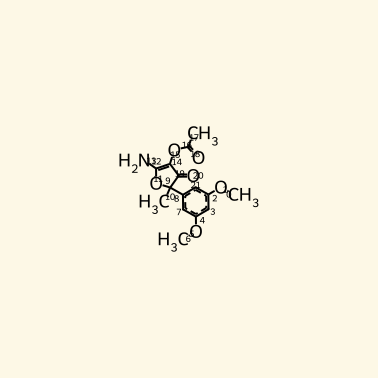 COc1cc(OC)cc(C2(C)OC(N)=C(OC(C)=O)C2=O)c1